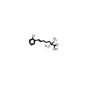 CC(C)(CCC/C=C/c1ccccc1Cl)C(=O)O